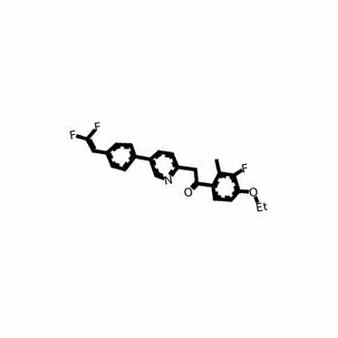 CCOc1ccc(C(=O)Cc2ccc(-c3ccc(C=C(F)F)cc3)cn2)c(C)c1F